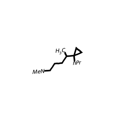 CCCC1(C(C)CCCNC)CC1